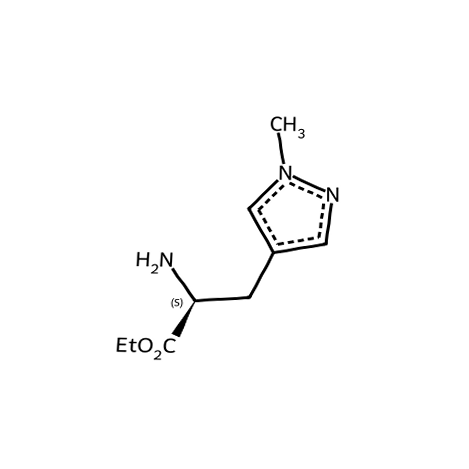 CCOC(=O)[C@@H](N)Cc1cnn(C)c1